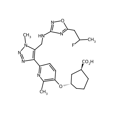 Cc1nc(-c2nnn(C)c2CNc2noc(CC(C)F)n2)ccc1O[C@H]1CCC[C@H](C(=O)O)C1